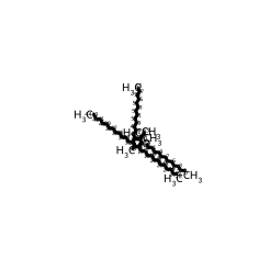 CCCCCCCCCCCCCOc1c(CCCCCCCCCCCCC)c(C)c(CCCCCCCCCCCCC)c(CCCCCCCCCCCCC)c1C(C)(C)C